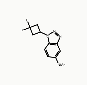 CNc1ccc2c(c1)nnn2C1CC(F)(F)C1